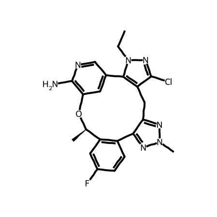 CCn1nc(Cl)c2c1-c1cnc(N)c(c1)O[C@H](C)c1cc(F)ccc1-c1nn(C)nc1C2